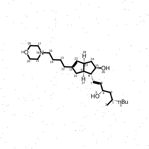 CCCC[C@H](C)C[C@H](O)/C=C/[C@@H]1[C@H]2CC(CCCCN3CCOCC3)=C[C@H]2C[C@H]1O